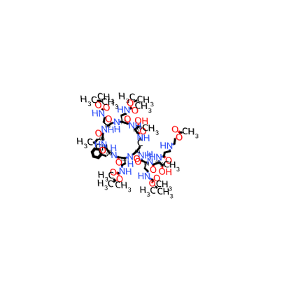 CC(=O)OCCNCCC(=O)N[C@H](C(=O)N[C@@H](CCNC(=O)OC(C)(C)C)C(=O)N[C@H]1CCNC(=O)[C@H]([C@@H](C)O)NC(=O)[C@H](CCNC(=O)OC(C)(C)C)NC(=O)[C@H](CCNC(=O)OC(C)(C)C)NC(=O)[C@H](CC(C)C)NC(=O)[C@@H](Cc2ccccc2)NC(=O)[C@H](CCNC(=O)OC(C)(C)C)NC1=O)[C@@H](C)O